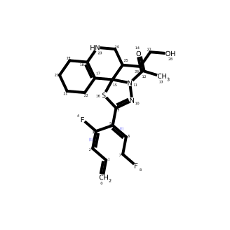 C=C/C=C(F)\C(=C/CF)C1=NN(C(C)=O)C2(S1)C1=C(CCCC1)NCC2CCO